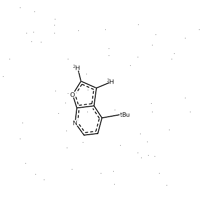 [2H]c1oc2nccc(C(C)(C)C)c2c1[2H]